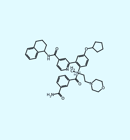 C[N@@+](CCN1CCOCC1)(C(=O)c1cccc(C(N)=O)c1)c1ccc(OC2CCCC2)cc1-c1cc(C(=O)NC2CCCc3ccccc32)ccn1